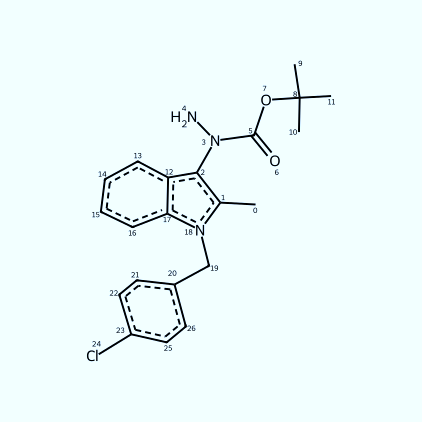 Cc1c(N(N)C(=O)OC(C)(C)C)c2ccccc2n1Cc1ccc(Cl)cc1